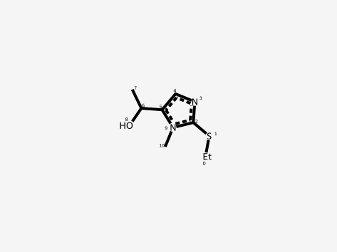 CCSc1ncc(C(C)O)n1C